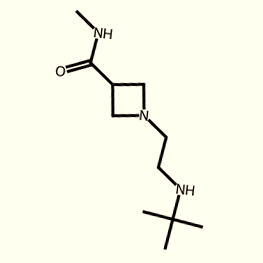 CNC(=O)C1CN(CCNC(C)(C)C)C1